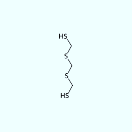 SCSCSCS